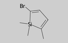 CC1=CC=C(Br)[Si]1(C)C